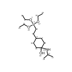 CCO[Si](CCC1CCC(O)(NC(C)C)CC1)(OCC)OCC